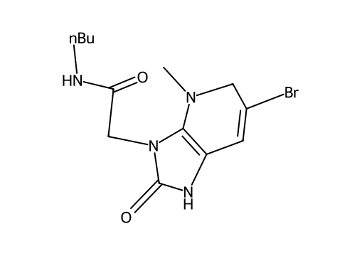 CCCCNC(=O)Cn1c2c([nH]c1=O)C=C(Br)CN2C